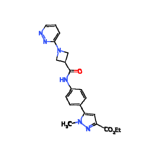 CCOC(=O)c1cc(-c2ccc(NC(=O)C3CN(c4cccnn4)C3)cc2)n(C)n1